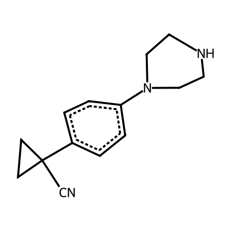 N#CC1(c2ccc(N3CCNCC3)cc2)CC1